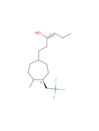 CC/C=C(/O)CCC1CCC(C)[C@H](CC(F)(F)F)CC1